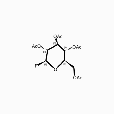 CC(=O)OC[C@H]1O[C@@H](F)[C@H](OC(C)=O)[C@@H](OC(C)=O)[C@@H]1OC(C)=O